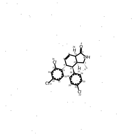 C[C@H]1NC(=O)[C@@H]2C=C[C@@H](c3ccc(Cl)cc3Cl)[C@H](c3ccc(Cl)cc3)[C@H]12